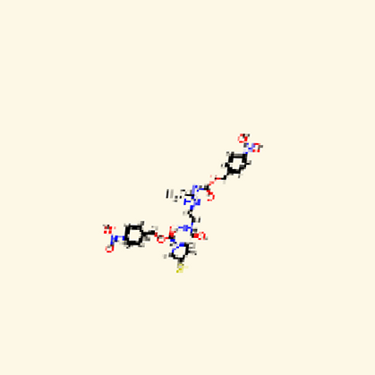 CC(=NC(=O)OCc1ccc([N+](=O)[O-])cc1)NCCNC(=O)[C@@H]1C[C@H](S)CN1C(=O)OCc1ccc([N+](=O)[O-])cc1